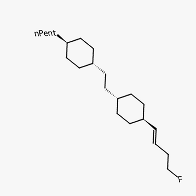 CCCCC[C@H]1CC[C@H](CC[C@H]2CC[C@H](C=CCCF)CC2)CC1